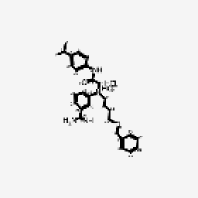 CC(C)c1ccc(NC(=O)CN(CCCCOCc2ccccc2)c2cccc(C(=N)N)c2)cc1.Cl.Cl